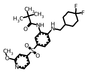 COc1cc(S(=O)(=O)c2ccc(NCC3CCC(F)(F)CC3)c(NC(=O)C(C)(C)C)c2)ccn1